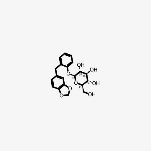 OC[C@H]1O[C@@H](Oc2ccccc2Cc2ccc3c(c2)OCO3)[C@H](O)[C@@H](O)[C@@H]1O